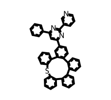 c1ccc(-c2cc(-c3ccc4c(c3)-c3ccccc3Sc3ccccc3-c3ccccc3-c3ccccc3-4)nc(-c3cccnc3)n2)cc1